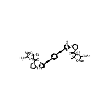 CC[C@@H](OC)[C@H](OC(N)=O)C(=O)N1CCC[C@H]1c1nc(C#Cc2ccc(C#Cc3c[nH]c([C@@H]4CCCN4C(=O)[C@@H](NC(=O)OC)[C@@H](C)OC)n3)cc2)c[nH]1